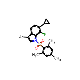 CC(=O)c1cn(S(=O)(=O)c2c(C)cc(C)cc2C)c2c(F)c(C3CC3)ccc12